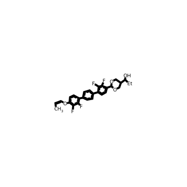 C/C=C\Oc1ccc(-c2ccc(-c3ccc(C4OCC(C(O)CC)CO4)c(F)c3F)cc2)c(F)c1F